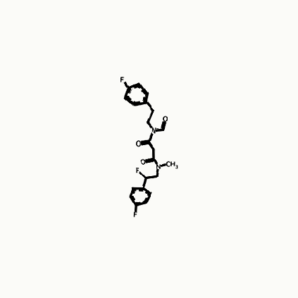 CN(CC(F)c1ccc(F)cc1)C(=O)CC(=O)N(C=O)CCc1ccc(F)cc1